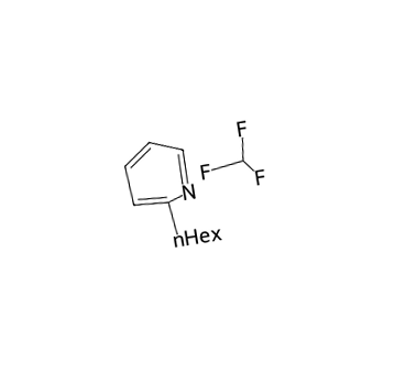 CCCCCCc1ccccn1.FC(F)F